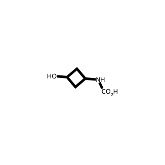 O=C(O)NC1CC(O)C1